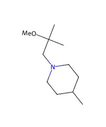 COC(C)(C)CN1CCC(C)CC1